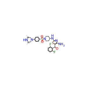 C[C@@H]1CN(c2ccc(S(=O)(=O)N3CCC(Nc4nc(N)c(C(=O)c5c(F)cccc5F)s4)CC3)cc2)C[C@H](C)N1